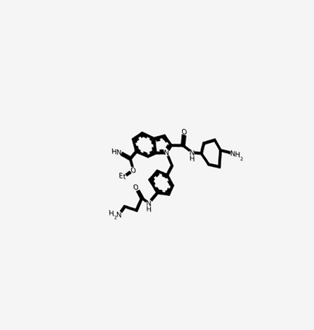 CCOC(=N)c1ccc2cc(C(=O)NC3CCC(N)CC3)n(Cc3ccc(NC(=O)CCN)cc3)c2c1